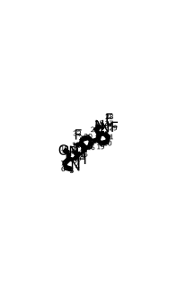 [2H]C1([2H])c2ncccc2C(=O)N1Cc1c(F)cc(-c2cccc3c2cnn3C(F)F)cc1F